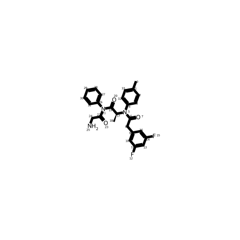 Cc1ccc(N(C(=O)Cc2cc(F)cc(F)c2)[C@@H](C)C(=O)N(C(=O)CN)c2ccccc2)cc1